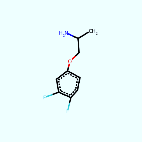 [CH2]C(N)COc1ccc(F)c(F)c1